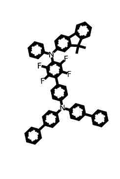 CC1(C)c2ccccc2-c2ccc(N(c3ccccc3)c3c(F)c(F)c(-c4ccc(N(c5ccc(-c6ccccc6)cc5)c5ccc(-c6ccccc6)cc5)cc4)c(F)c3F)cc21